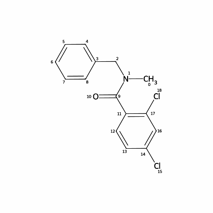 CN(Cc1ccccc1)C(=O)c1ccc(Cl)cc1Cl